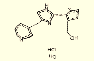 Cl.Cl.OCc1ccsc1-c1nc(-c2cccnc2)c[nH]1